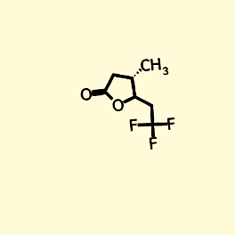 C[C@H]1CC(=O)OC1CC(F)(F)F